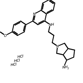 COc1ccc(-c2cc(NCCCN3CC4CCC(N)C4C3)c3ccccc3n2)cc1.Cl.Cl.Cl